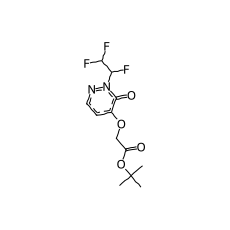 CC(C)(C)OC(=O)COc1ccnn(C(F)C(F)F)c1=O